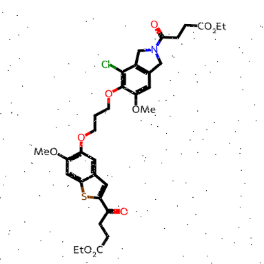 CCOC(=O)CCC(=O)c1cc2cc(OCCCOc3c(OC)cc4c(c3Cl)CN(C(=O)CCC(=O)OCC)C4)c(OC)cc2s1